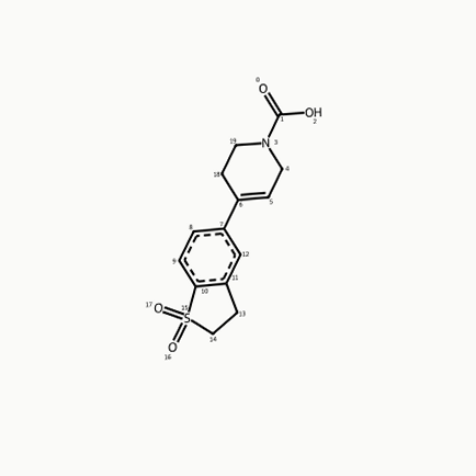 O=C(O)N1CC=C(c2ccc3c(c2)CCS3(=O)=O)CC1